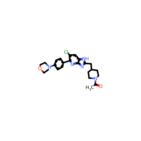 CC(=O)N1CCC(Cc2nc3nc(-c4ccc(N5CCOCC5)cc4)c(Cl)cc3[nH]2)CC1